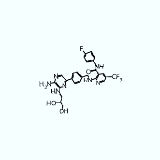 Nc1ncc(-c2ccc(CNc3ncc(C(F)(F)F)cc3C(=O)Nc3ccc(F)cc3)cc2)nc1NCC(O)CO